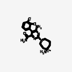 C[C@@]1(N)CCCN(c2nc(N)c(-c3cccc(Cl)c3Cl)c(C(N)=O)n2)CC1